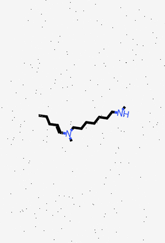 CCC/C=C/N(C)CCCCCCCNC